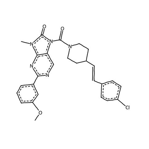 COc1cccc(-c2ncc3c(n2)n(C)c(=O)n3C(=O)N2CCC(C=Cc3ccc(Cl)cc3)CC2)c1